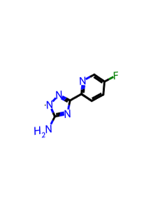 NC1=NC(c2ccc(F)cn2)=N[N]1